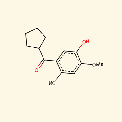 COc1cc(C#N)c(C(=O)C2CCCC2)cc1O